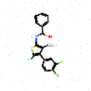 O=C(O)c1c(NC(O)c2ccccc2)sc(Cl)c1-c1ccc(Cl)c(F)c1